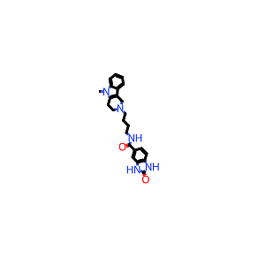 Cn1c2c(c3ccccc31)CN(CCCCNC(=O)c1ccc3[nH]c(=O)[nH]c3c1)CC2